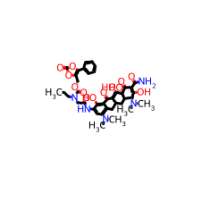 CCCN(CC(=O)Nc1cc(N(C)C)c2c(c1O)C(=O)C1=C(O)[C@]3(O)C(=O)C(C(N)=O)=C(O)[C@@H](N(C)C)C3CC1C2)C(=O)OCc1oc(=O)oc1-c1ccccc1